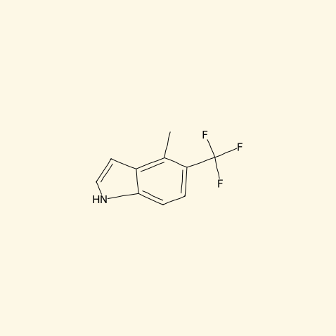 Cc1c(C(F)(F)F)ccc2[nH]ccc12